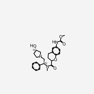 COC(=O)Nc1ccc2c(c1)CCC(C(=O)N(C)[C@H](CN1CC[C@H](O)C1)c1ccccc1)O2